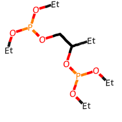 CCOP(OCC)OCC(CC)OP(OCC)OCC